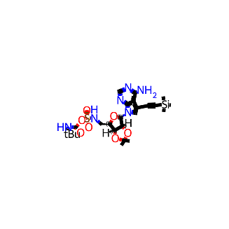 CC(C)(C)NC(=O)OS(=O)(=O)NC[C@H]1O[C@@H](n2cc(C#C[Si](C)(C)C)c3c(N)ncnc32)[C@@H]2OC(C)(C)O[C@@H]21